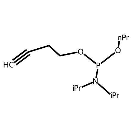 C#CCCOP(OCCC)N(C(C)C)C(C)C